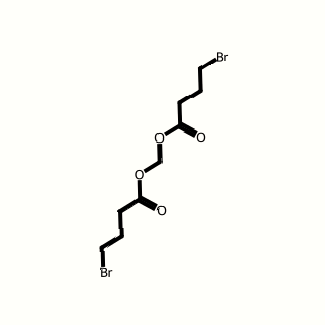 O=C(CCCBr)OCOC(=O)CCCBr